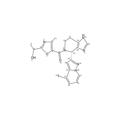 Cc1nc(C(C)O)oc1C(=O)N1CCc2[nH]cnc2[C@@H]1c1cc2c(F)cccn2n1